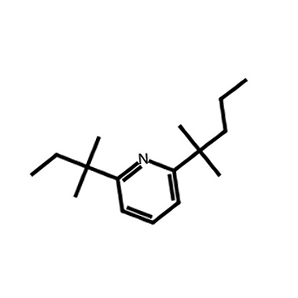 CCCC(C)(C)c1cccc(C(C)(C)CC)n1